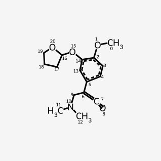 COc1ccc(C(=C=O)CN(C)C)cc1OC1CCCO1